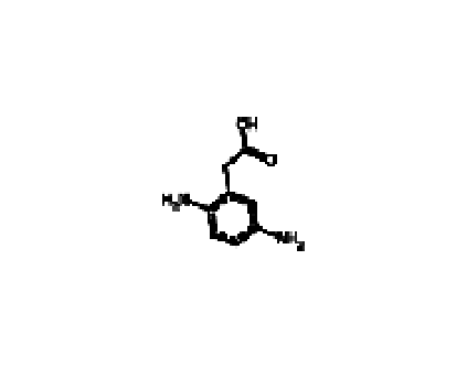 Nc1ccc(N)c(CC(=O)O)c1